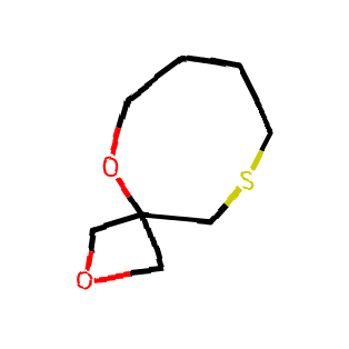 C1CCSCC2(COC2)OC1